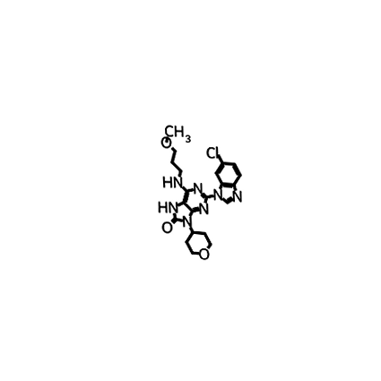 COCCCNc1nc(-n2cnc3ccc(Cl)cc32)nc2c1[nH]c(=O)n2C1CCOCC1